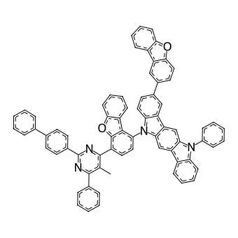 Cc1c(-c2ccccc2)nc(-c2ccc(-c3ccccc3)cc2)nc1-c1ccc(-n2c3ccc(-c4ccc5oc6ccccc6c5c4)cc3c3cc4c(cc32)c2ccccc2n4-c2ccccc2)c2c1oc1ccccc12